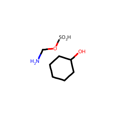 NCOS(=O)(=O)O.OC1CCCCC1